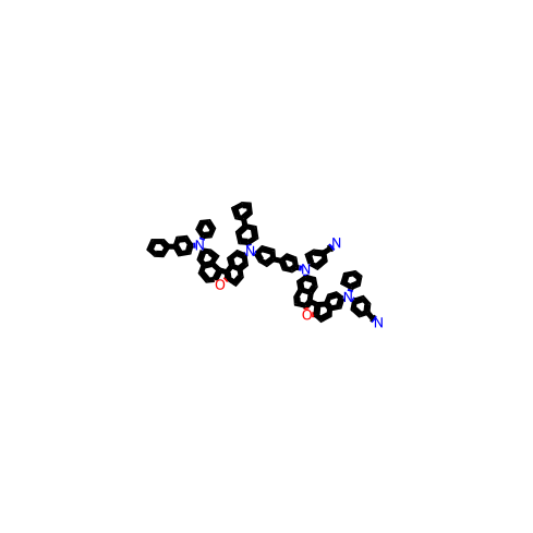 N#Cc1ccc(N(c2ccccc2)c2ccc3c(ccc4oc5ccc6cc(N(c7ccc(C#N)cc7)c7ccc(-c8ccc(N(c9ccc(-c%10ccccc%10)cc9)c9ccc%10c(ccc%11oc%12ccc%13cc(N(c%14ccccc%14)c%14ccc(-c%15ccccc%15)cc%14)ccc%13c%12c%11%10)c9)cc8)cc7)ccc6c5c43)c2)cc1